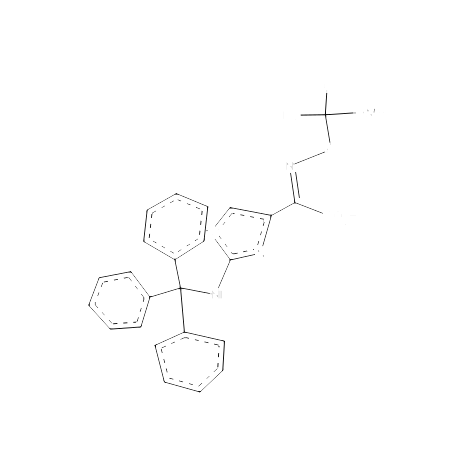 COC(C)(C)O/N=C(\C(=O)O)c1csc(NC(c2ccccc2)(c2ccccc2)c2ccccc2)n1